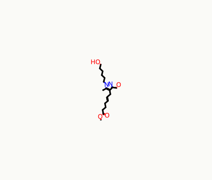 COC(=O)CCCC=CCc1c(C=O)nn(CCCCCCO)c1C